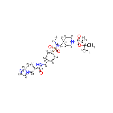 CC(C)(C)OC(=O)N1CCC2(CCCN(S(=O)(=O)c3ccc(CNC(=O)c4ccc5nccn5c4)cc3)C2)CC1